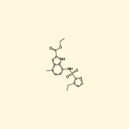 CCOC(=O)c1cc2c(C)ccc(NS(=O)(=O)c3sccc3CC)c2[nH]1